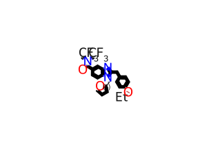 CCOc1ccc(Cc2nc3cc(C(=O)N(CC(F)(F)F)CC(F)(F)F)ccc3n2C[C@@H]2CCCO2)cc1